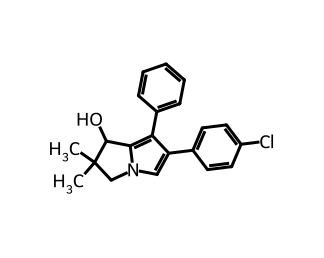 CC1(C)Cn2cc(-c3ccc(Cl)cc3)c(-c3ccccc3)c2C1O